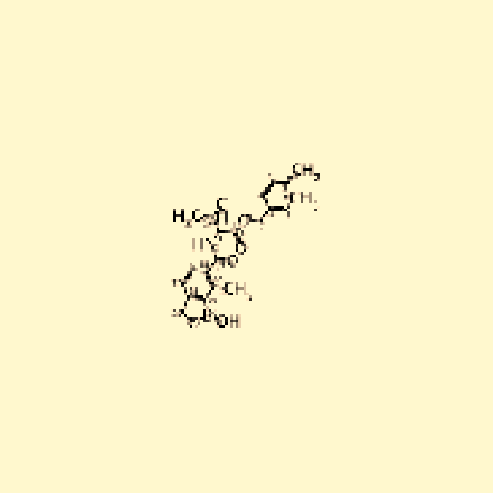 C=C/C=C\C(=C/C)COC(=O)C(NC(=O)c1ccc2c(c1C)B(O)OC2)C(C)C